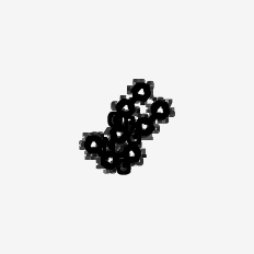 c1ccc(-c2ccc3c(c2)B2c4cc(-c5ccccc5)ccc4Oc4cc(-n5c6ccccc6c6ccc7oc8ccccc8c7c65)cc(c42)O3)cc1